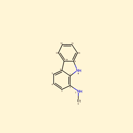 CCNc1cccc2c1[nH]c1ccccc12